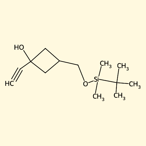 C#CC1(O)CC(CO[Si](C)(C)C(C)(C)C)C1